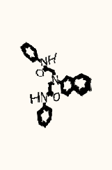 O=C(CN(CC(=O)Nc1ccccc1)c1ccc2ccccc2c1)Nc1ccccc1